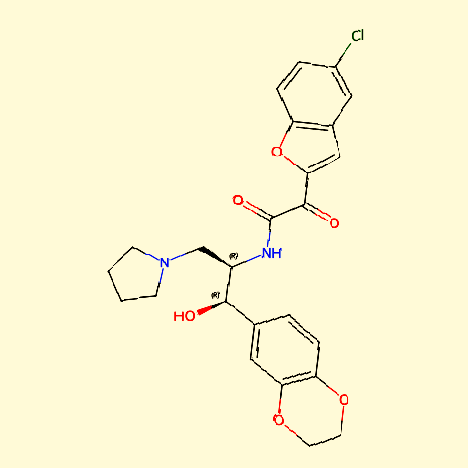 O=C(N[C@H](CN1CCCC1)[C@H](O)c1ccc2c(c1)OCCO2)C(=O)c1cc2cc(Cl)ccc2o1